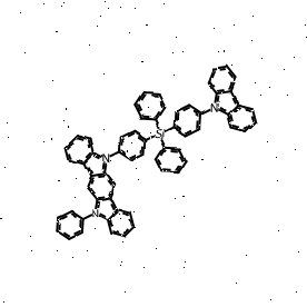 c1ccc(-n2c3ccccc3c3cc4c(cc32)c2ccccc2n4-c2ccc([Si](c3ccccc3)(c3ccccc3)c3ccc(-n4c5ccccc5c5ccccc54)cc3)cc2)cc1